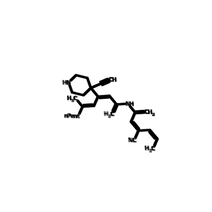 C#CC1(C(/C=C(\C)CCCCC)=C/C(=C)NC(=C)/C=C(C#N)\C=C/C)CCNCC1